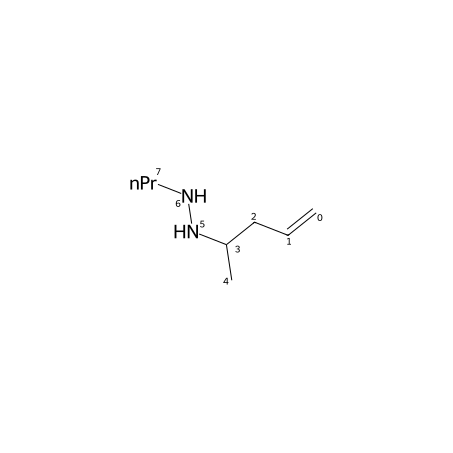 C=CCC(C)NNCCC